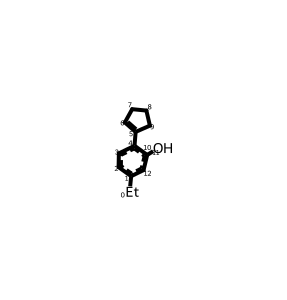 CCc1ccc(C2=CCCC2)c(O)c1